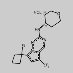 CCC1(c2cc(C(F)(F)F)c3cnc(N[C@@H]4CCOC[C@H]4O)nn23)CCC1